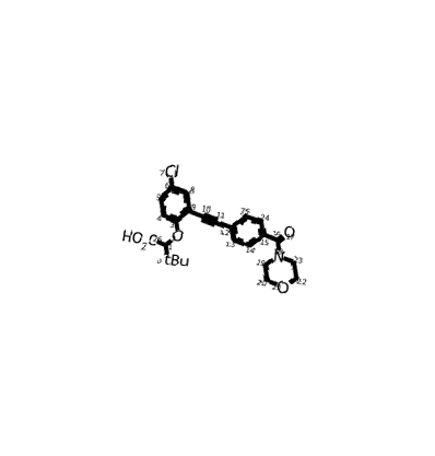 CC(C)(C)C(Oc1ccc(Cl)cc1C#Cc1ccc(C(=O)N2CCOCC2)cc1)C(=O)O